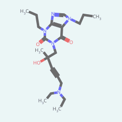 CCCn1cnc2c1c(=O)n(CC(C)(O)C#CCN(CC)CC)c(=O)n2CCC